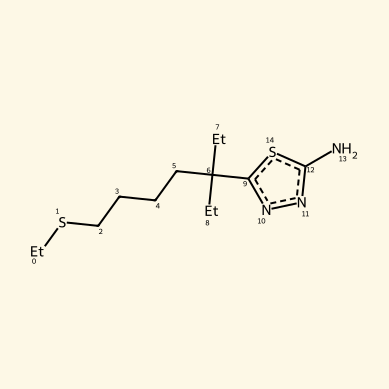 CCSCCCCC(CC)(CC)c1nnc(N)s1